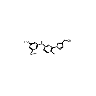 COc1cc(O)cc(Nc2ncc(F)c(-n3cc(CO)cn3)n2)c1